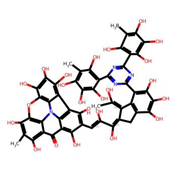 Bc1c(O)c(O)c(O)c(-c2nc(-c3c(O)c(C)c(O)c(O)c3O)nc(-c3c(O)c(O)c(O)c4c3C(=C(/C)O)/C(=C(O)\C(O)=C\c3c(O)c5c(=O)c6c(O)c(C)c(O)c7c6n6c8c(c(O)c(O)c(O)c8c(c3O)c56)O7)C4)n2)c1O